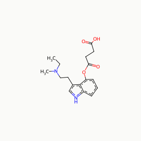 CCN(C)CCc1c[nH]c2cccc(OC(=O)CCC(=O)O)c12